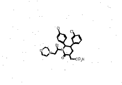 CCC(CN1CCOCC1)N1C(=O)C(CC(=O)O)CC(c2cccc(Cl)c2)C1c1ccc(Cl)cc1